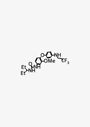 CCC(CC)NC(=O)Nc1ccc(Oc2ccc(NCCC(F)(F)F)cc2)c(OC)c1